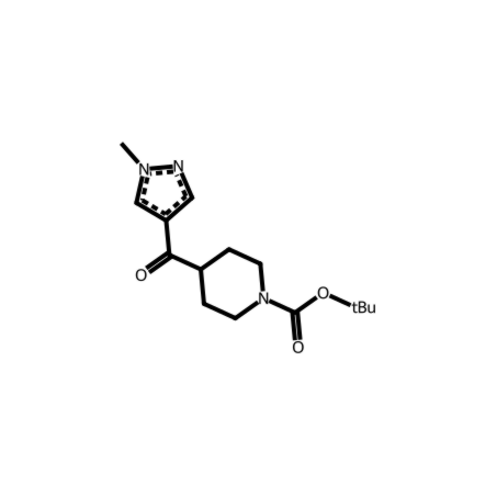 Cn1cc(C(=O)C2CCN(C(=O)OC(C)(C)C)CC2)cn1